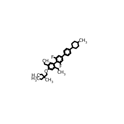 CCc1cc(-c2c(F)cc(-c3ccc(C4CCC(C)CC4)cc3)cc2F)c(CC)cc1OCC(C)(CC)CC